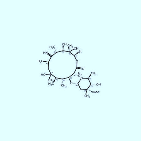 CC[C@H]1OC(=O)[C@H](C)[C@@H](O[C@H]2C[C@@](C)(OC)[C@@H](O)[C@H](C)O2)[C@H](C)[C@@H](C)[C@](C)(O)C[C@@H](C)C(=N)[C@H](C)[C@@H](O)[C@]1(C)O